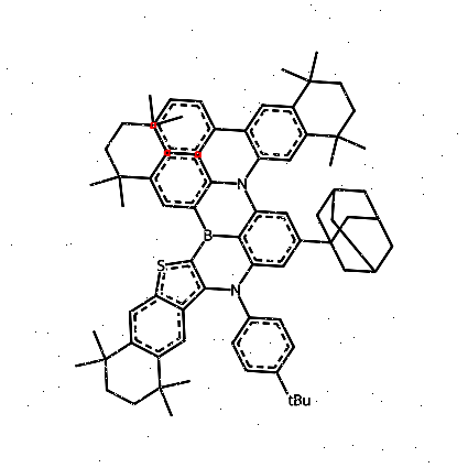 CC(C)(C)c1ccc(N2c3cc(C45CC6CC(CC(C6)C4)C5)cc4c3B(c3cc5c(cc3N4c3cc4c(cc3-c3ccccc3)C(C)(C)CCC4(C)C)C(C)(C)CCC5(C)C)c3sc4cc5c(cc4c32)C(C)(C)CCC5(C)C)cc1